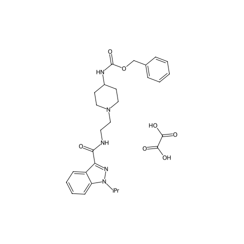 CC(C)n1nc(C(=O)NCCN2CCC(NC(=O)OCc3ccccc3)CC2)c2ccccc21.O=C(O)C(=O)O